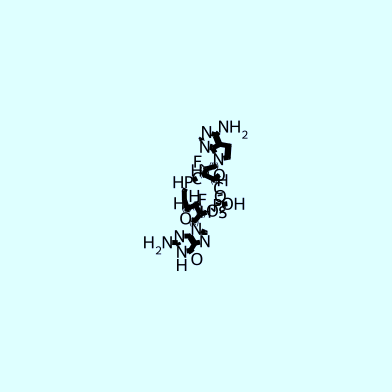 Nc1nc2c(ncn2[C@@H]2O[C@@H]3CCPC[C@H]4[C@H](F)[C@H](n5ccc6c(N)ncnc65)O[C@@H]4COP(O)(=S)O[C@@H]2[C@@H]3F)c(=O)[nH]1